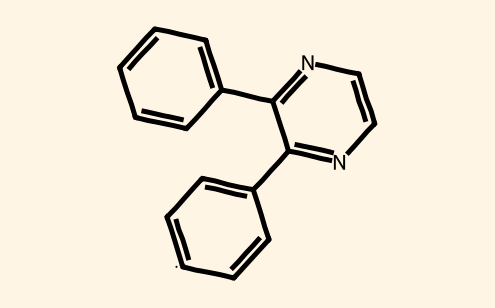 [c]1ccc(-c2nccnc2-c2ccccc2)cc1